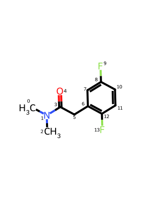 CN(C)C(=O)Cc1cc(F)ccc1F